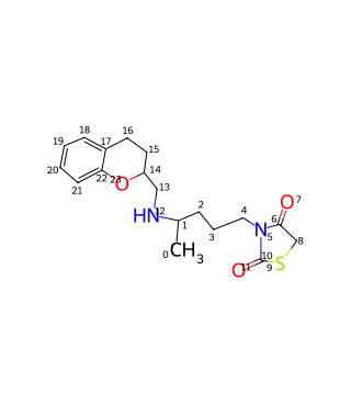 CC(CCCN1C(=O)CSC1=O)NCC1CCc2ccccc2O1